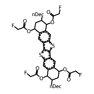 CCCCCCCCCCC1CC(OC(=O)CF)c2cc3c(cc2C1OC(=O)CF)sc1c2cc4c(cc2sc31)C(OC(=O)CF)C(CCCCCCCCCC)CC4OC(=O)CF